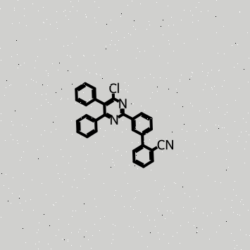 N#Cc1ccccc1-c1cccc(-c2nc(Cl)c(-c3ccccc3)c(-c3ccccc3)n2)c1